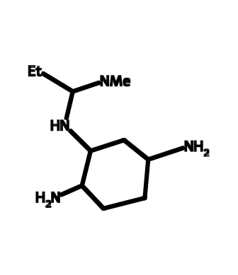 CCC(NC)NC1CC(N)CCC1N